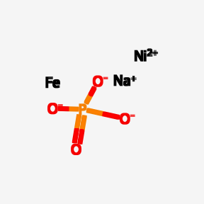 O=P([O-])([O-])[O-].[Fe].[Na+].[Ni+2]